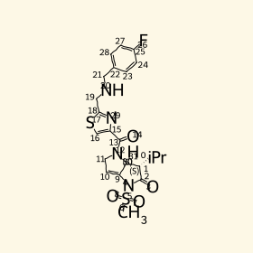 CC(C)[C@@H]1C(=O)N(S(C)(=O)=O)C2=CCN(C(=O)c3csc(CNCc4ccc(F)cc4)n3)[C@H]21